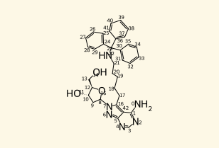 Nc1ncnc2nn(C3C[C@H](O)[C@@H](CO)O3)c(CCCCCNC(c3ccccc3)(c3ccccc3)c3ccccc3)c12